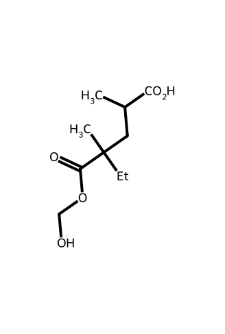 CCC(C)(CC(C)C(=O)O)C(=O)OCO